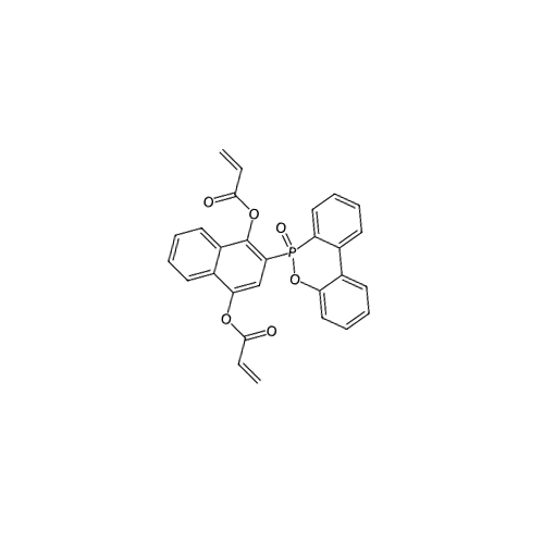 C=CC(=O)Oc1cc(P2(=O)Oc3ccccc3-c3ccccc32)c(OC(=O)C=C)c2ccccc12